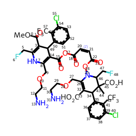 COC(=O)C1=C(CF)NC(COCCN)=C(C(=O)OC(=O)/C=C\C(=O)ON2C(COCCN)=C(C(=O)O)C(c3cccc(Cl)c3C(F)(F)F)C(C)(C(=O)O)C2CF)C1c1cccc(Cl)c1C(F)(F)F